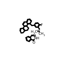 CN(C)Cc1cc(Cc2cccc3ccc4c(c23)CCC2=C4C=CCC2)ccc1F.O=c1[nH]ncc2ccccc12